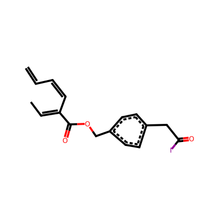 C=C/C=C\C(=C/C)C(=O)OCc1ccc(CC(=O)I)cc1